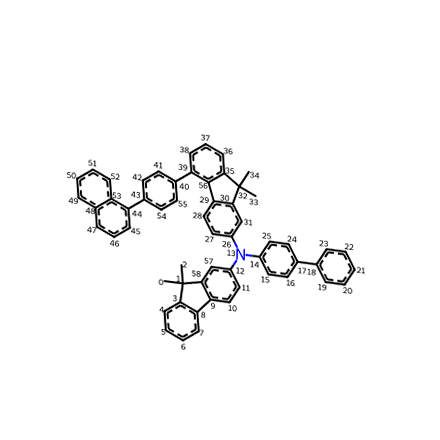 CC1(C)c2ccccc2-c2ccc(N(c3ccc(-c4ccccc4)cc3)c3ccc4c(c3)C(C)(C)c3cccc(-c5ccc(-c6cccc7ccccc67)cc5)c3-4)cc21